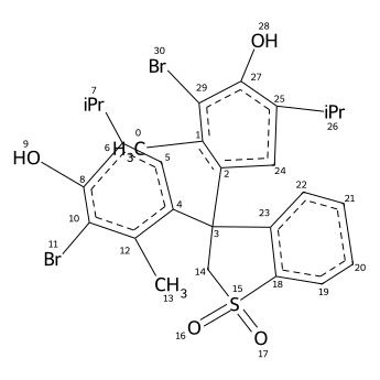 Cc1c(C2(c3cc(C(C)C)c(O)c(Br)c3C)CS(=O)(=O)c3ccccc32)cc(C(C)C)c(O)c1Br